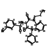 CC(C)CCN1C(=O)C(NC(=O)c2cccc(Br)c2)C(=O)N(c2ccccc2)c2ccccc21